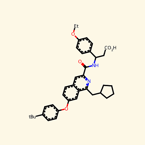 CCOc1ccc(C(CC(=O)O)NC(=O)c2cc3ccc(Oc4ccc(C(C)(C)C)cc4)cc3c(CC3CCCC3)n2)cc1